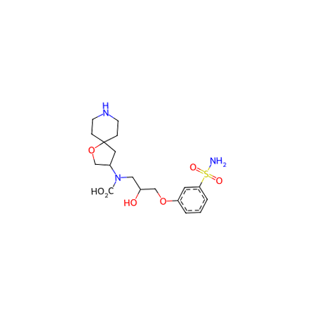 NS(=O)(=O)c1cccc(OCC(O)CN(C(=O)O)C2COC3(CCNCC3)C2)c1